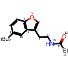 CCCCc1ccc2occ(CCNC(=O)CC)c2c1